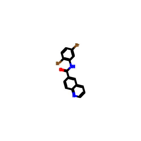 O=C(Nc1cc(Br)ccc1Br)c1ccc2ncccc2c1